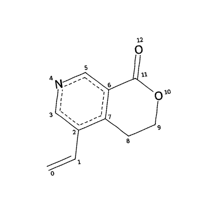 C=Cc1cncc2c1CCOC2=O